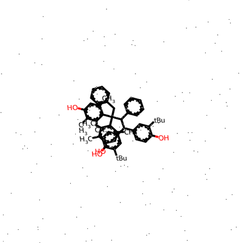 Cc1cc(O)c(C)c(C)c1C(Cc1ccccc1)(c1c(C)cc(O)c(C)c1C)C(c1ccccc1)C(c1ccc(O)c(C(C)(C)C)c1)c1ccc(O)c(C(C)(C)C)c1